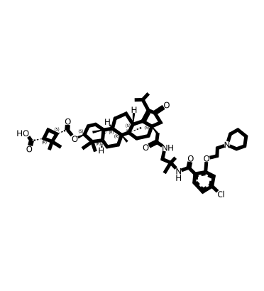 CC(C)C1=C2[C@H]3CC[C@@H]4[C@@]5(C)CC[C@H](OC(=O)[C@H]6C[C@@H](C(=O)O)C6(C)C)C(C)(C)[C@@H]5CC[C@@]4(C)[C@]3(C)CC[C@@]2(CC(=O)NCC(C)(C)NC(=O)c2ccc(Cl)cc2OCCN2CCCCC2)CC1=O